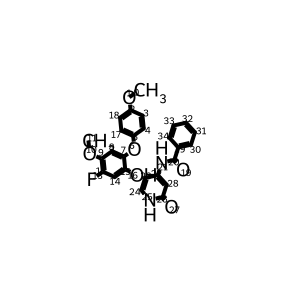 COc1ccc(Oc2cc(OC)c(F)cc2O)cc1.O=C(Nc1cc[nH]c(=O)c1)c1ccccc1